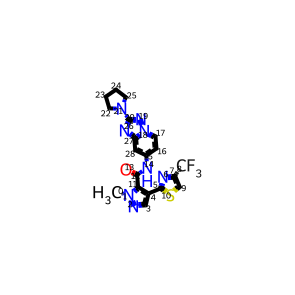 Cn1ncc(-c2nc(C(F)(F)F)cs2)c1C(=O)Nc1ccn2nc(N3CCCC3)nc2c1